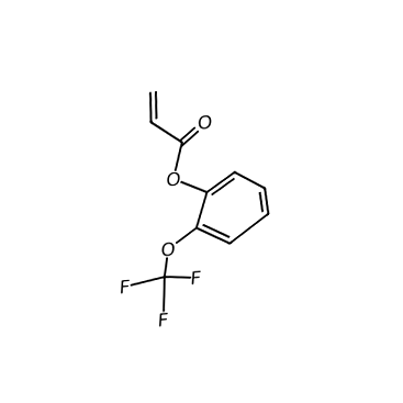 C=CC(=O)Oc1ccccc1OC(F)(F)F